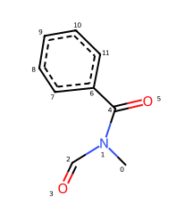 CN(C=O)C(=O)c1ccccc1